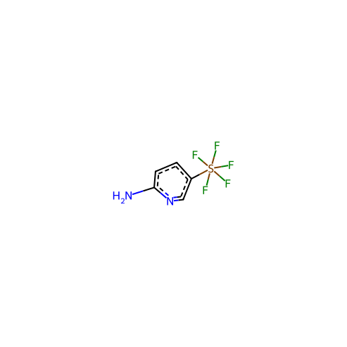 Nc1ccc(S(F)(F)(F)(F)F)cn1